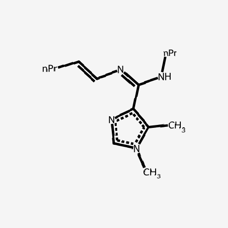 CCC/C=C/N=C(/NCCC)c1ncn(C)c1C